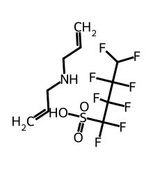 C=CCNCC=C.O=S(=O)(O)C(F)(F)C(F)(F)C(F)(F)C(F)F